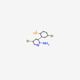 CPc1ccc(Br)cc1-c1cc(Br)cnc1N